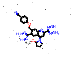 COC1CCCN1c1cc(C(N=N)=NN)nc2cc(COc3ccc(C#N)cc3)c(C(N=N)=NN)cc12